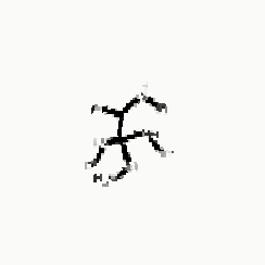 CCC(NC(C)C)C(N[SiH3])(NC(C)C)NC(C)C